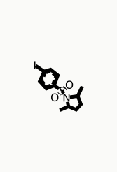 CC1CCC(C)N1S(=O)(=O)c1ccc(I)cc1